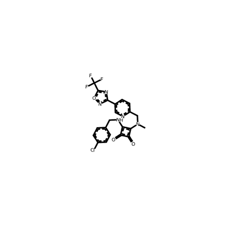 CN(Cc1ccc(-c2noc(C(F)(F)F)n2)cn1)c1c(NCc2ccc(Cl)cc2)c(=O)c1=O